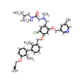 C#CCOc1cccc(-c2cccc(COc3cc(OCc4cncc(C#N)c4)c(CN(C)CC(=O)NCC(S(=O)(=O)O)S(=O)(=O)O)cc3Cl)c2C)c1C